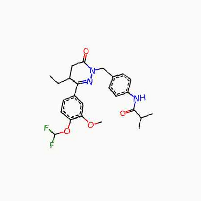 CCC1CC(=O)N(Cc2ccc(NC(=O)C(C)C)cc2)N=C1c1ccc(OC(F)F)c(OC)c1